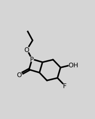 CCOP1C(=O)C2CC(F)C(O)CC21